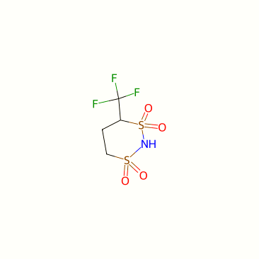 O=S1(=O)CCC(C(F)(F)F)S(=O)(=O)N1